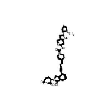 CN1CCC[C@@H]1c1cc2cnc(NC(=O)N3CCC(CCC#Cc4cccc5c4CN(C4CCC(=O)NC4=O)C5=O)CC3)cc2[nH]1